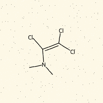 CN(C)C(Cl)=C(Cl)Cl